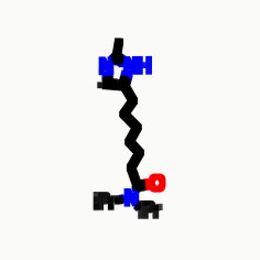 Cc1n[c]c(CCCCCCC(=O)N(C(C)C)C(C)C)[nH]1